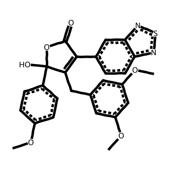 COc1ccc(C2(O)OC(=O)C(c3ccc4nsnc4c3)=C2Cc2cc(OC)cc(OC)c2)cc1